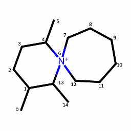 CC1CCC(C)[N+]2(CCCCCC2)C1C